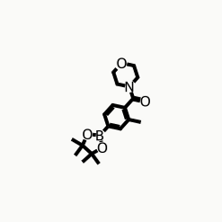 Cc1cc(B2OC(C)(C)C(C)(C)O2)ccc1C(=O)N1CCOCC1